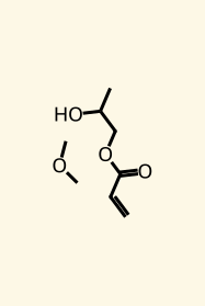 C=CC(=O)OCC(C)O.COC